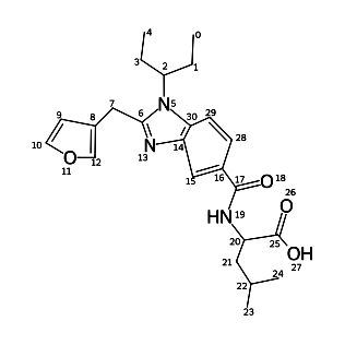 CCC(CC)n1c(Cc2ccoc2)nc2cc(C(=O)NC(CC(C)C)C(=O)O)ccc21